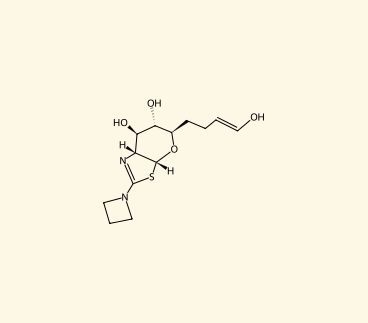 OC=CCC[C@H]1O[C@@H]2SC(N3CCC3)=N[C@@H]2[C@@H](O)[C@@H]1O